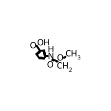 C=C(OCC)C(=O)Nc1cccc(C(=O)O)c1